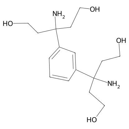 NC(CCO)(CCO)c1cccc(C(N)(CCO)CCO)c1